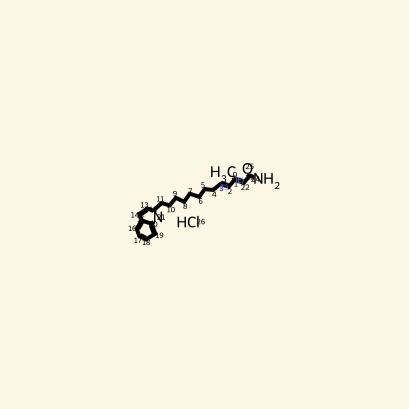 CC(/C=C/CCCCCCCCc1ccc2ccccc2n1)=C\C(N)=O.Cl